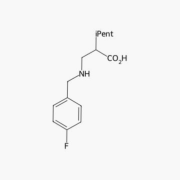 CCCC(C)C(CNCc1ccc(F)cc1)C(=O)O